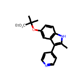 CCOC(=O)C(C)(C)Oc1ccc2[nH]c(C)c(-c3ccncc3)c2c1